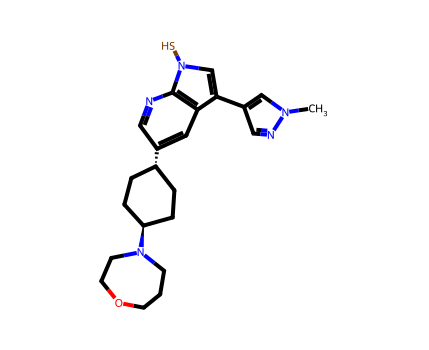 Cn1cc(-c2cn(S)c3ncc([C@H]4CC[C@H](N5CCCOCC5)CC4)cc23)cn1